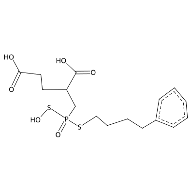 O=C(O)CCC(CP(=O)(SO)SCCCCc1ccccc1)C(=O)O